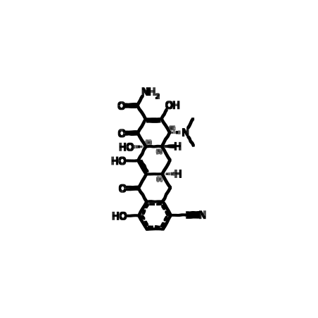 CN(C)[C@H]1C(O)=C(C(N)=O)C(=O)[C@]2(O)C(O)=C3C(=O)c4c(O)ccc(C#N)c4C[C@@H]3C[C@@H]12